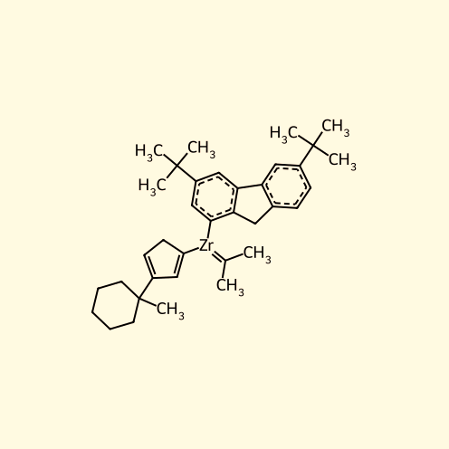 C[C](C)=[Zr]([C]1=CC(C2(C)CCCCC2)=CC1)[c]1cc(C(C)(C)C)cc2c1Cc1ccc(C(C)(C)C)cc1-2